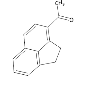 CC(=O)c1ccc2cccc3c2c1CC3